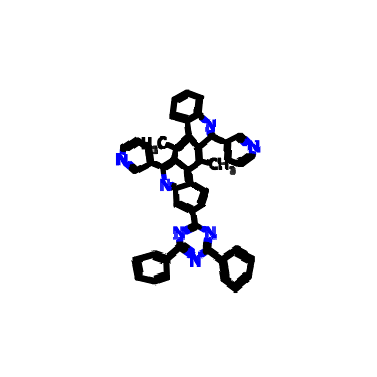 Cc1c2c(-c3cccnc3)nc3cc(-c4nc(-c5ccccc5)nc(-c5ccccc5)n4)ccc3c2c(C)c2c(-c3cccnc3)nc3ccccc3c12